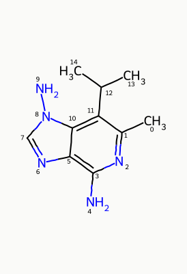 Cc1nc(N)c2ncn(N)c2c1C(C)C